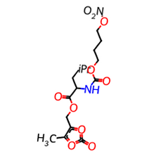 Cc1oc(=O)oc1COC(=O)C(CC(C)C)NC(=O)OCCCCO[N+](=O)[O-]